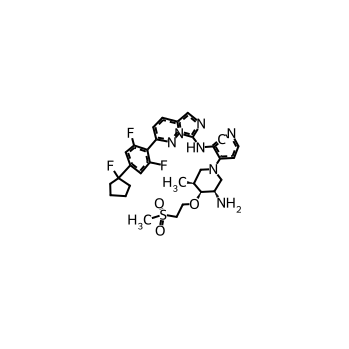 C[C@H]1CN(c2ccncc2Nc2ncc3ccc(-c4c(F)cc(C5(F)CCCC5)cc4F)nn23)C[C@@H](N)[C@H]1OCCS(C)(=O)=O